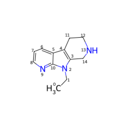 CCn1c2c(c3cccnc31)CCNC2